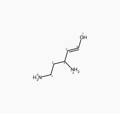 NCCC(N)C=CO